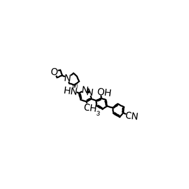 Cc1cc(N[C@@H]2CCCN(C3COC3)C2)nnc1-c1ccc(-c2ccc(C#N)cc2)cc1O